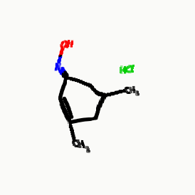 CC1=CC(=NO)CC(C)C1.Cl